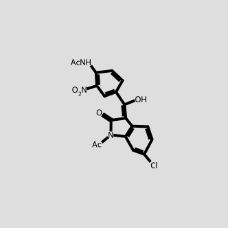 CC(=O)Nc1ccc(C(O)=C2C(=O)N(C(C)=O)c3cc(Cl)ccc32)cc1[N+](=O)[O-]